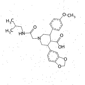 COc1ccc(C2CN(CC(=O)NCC(C)C)CC(c3ccc4c(c3)OCO4)C2C(=O)O)cc1